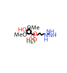 COc1cc(C(=O)OCCCCNC(=N)N)cc(OC)c1O.Cl.O